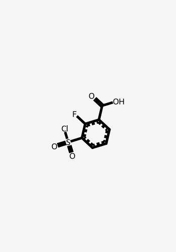 O=C(O)c1cccc(S(=O)(=O)Cl)c1F